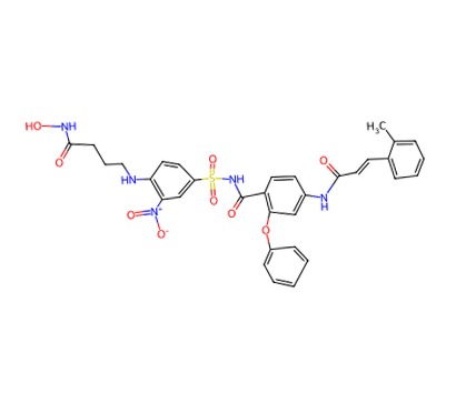 Cc1ccccc1C=CC(=O)Nc1ccc(C(=O)NS(=O)(=O)c2ccc(NCCCC(=O)NO)c([N+](=O)[O-])c2)c(Oc2ccccc2)c1